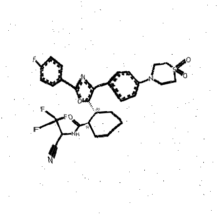 N#CC(NC(=O)[C@@H]1CCCC[C@H]1c1oc(-c2ccc(F)cc2)nc1-c1ccc(N2CCS(=O)(=O)CC2)cc1)C(F)(F)F